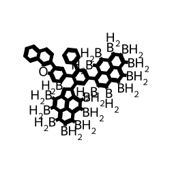 BC1=c2c(B)c(B)c3c(B)c(B)c(B)c4c(B)c(B)c(c2c43)C1c1cc(-c2c(B)c(B)c3c(B)c(B)c4c(B)c(B)c(B)c5c(B)c(B)c2c3c45)cc(-c2ccccc2)c1-c1ccc2oc3c4ccccc4ccc3c2c1